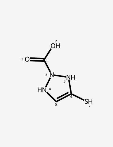 O=C(O)N1NC=C(S)N1